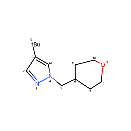 CC(C)(C)c1cnn(CC2CCOCC2)c1